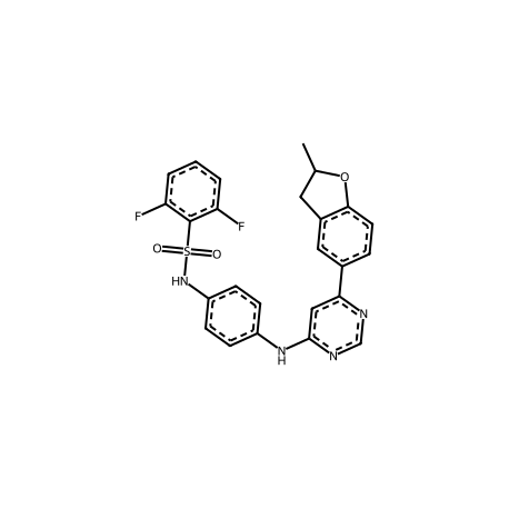 CC1Cc2cc(-c3cc(Nc4ccc(NS(=O)(=O)c5c(F)cccc5F)cc4)ncn3)ccc2O1